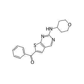 O=C(c1ccccc1)c1cc2cnc(NC3CCOCC3)nc2s1